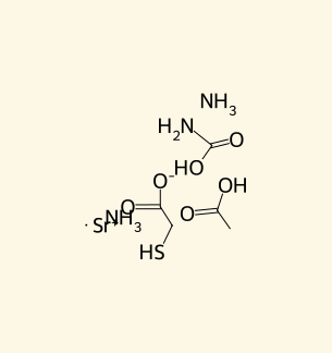 CC(=O)O.N.N.NC(=O)O.O=C([O-])CS.[Sr+]